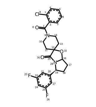 O=C(c1ccccc1Cl)N1CCC2(CC1)OC1CC[C@@H](c3cc(F)cc(F)c3)N1C2=O